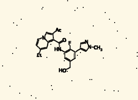 CCc1ccn2cc(C(C)=O)c(C(=O)Nc3cc(CO)cc(-c4cnn(C)c4)c3F)c2c1